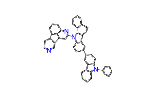 c1ccc(-n2c3ccccc3c3cc(-c4ccc5c(c4)c4ccc6ccccc6c4n5-c4cc5c6c(cccc6n4)-c4ccncc4-5)ccc32)cc1